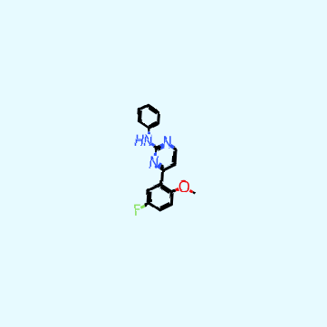 COc1ccc(F)cc1-c1ccnc(Nc2ccccc2)n1